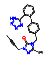 CC#CCn1nc(C(C)C)n(Cc2ccc(-c3ccccc3-c3nnn[nH]3)cc2)c1=O